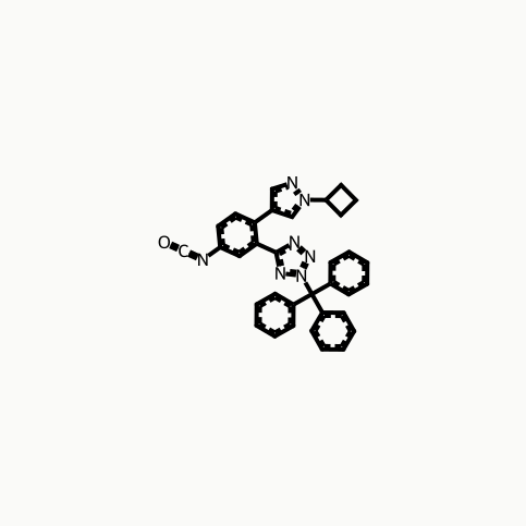 O=C=Nc1ccc(-c2cnn(C3CCC3)c2)c(-c2nnn(C(c3ccccc3)(c3ccccc3)c3ccccc3)n2)c1